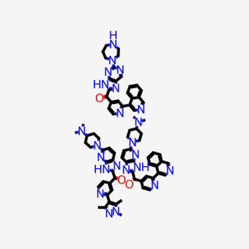 CN(C)C1CCN(c2ccc3nc(C(=O)c4ccnc(-c5cncc6ccccc56)c4)[nH]c3n2)CC1.Cc1nn(C)c(C)c1-c1cc(C(=O)c2nc3ccc(N4CCC(N(C)C)CC4)nc3[nH]2)ccn1.O=C(c1ccnc(-c2cncc3ccccc23)c1)c1nc2cnc(N3CCCNCC3)nc2[nH]1